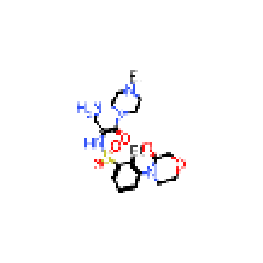 CCc1c(N2CCOCC2=O)cccc1S(=O)(=O)N[C@@H](CN)C(=O)N1CCN(CC)CC1